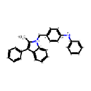 O=C(O)c1c(-c2ccccc2)c2ccccc2n1Cc1ccc(Nc2ccccc2)cc1